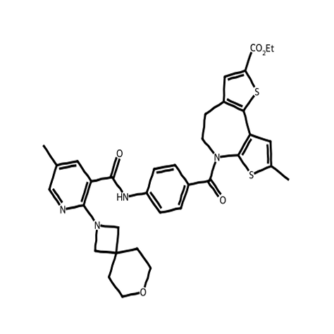 CCOC(=O)c1cc2c(s1)-c1cc(C)sc1N(C(=O)c1ccc(NC(=O)c3cc(C)cnc3N3CC4(CCOCC4)C3)cc1)CC2